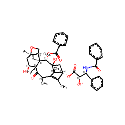 CC(=O)O[C@H]1C(=O)[C@@]2(C)[C@H]([C@H](OC(=O)c3ccccc3)C3(O)C[C@@]4(OC(=O)[C@H](O)[C@@H](NC(=O)c5ccccc5)c5ccccc5)C(C)=C1[C@]34C)[C@]1(OC(C)=O)CO[C@@H]1C[C@@H]2O